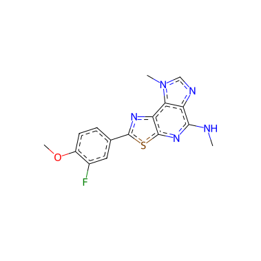 CNc1nc2sc(-c3ccc(OC)c(F)c3)nc2c2c1ncn2C